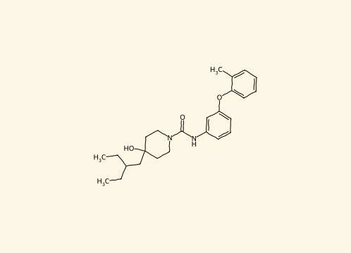 CCC(CC)CC1(O)CCN(C(=O)Nc2cccc(Oc3ccccc3C)c2)CC1